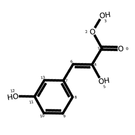 O=C(OO)C(O)=Cc1cccc(O)c1